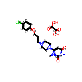 Cn1c(N2CCN(CCCOc3ccc(Cl)cc3)CC2)cc(=O)[nH]c1=O.O=C(O)C(=O)O